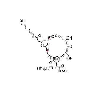 CCCCCCCC(=O)O[C@H]1/C(=C/C(=O)OC)CC2C[C@H](CO)OC(=O)C[C@H](O)CCOCC[C@@H]3C[C@H](CC(=O)OC/C=C/C=C/CO)O[C@H](/C=C/C(C)(C)[C@]1(O)O2)O3